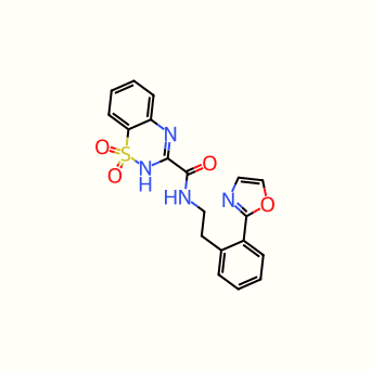 O=C(NCCc1ccccc1-c1ncco1)C1=Nc2ccccc2S(=O)(=O)N1